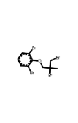 CC(Br)(CBr)COc1c(Br)cccc1Br